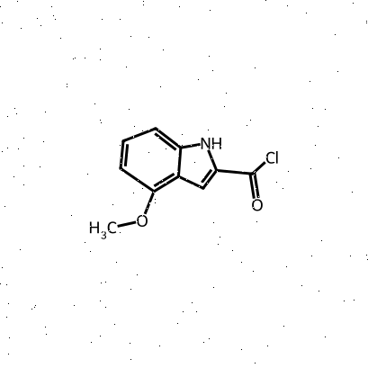 COc1cccc2[nH]c(C(=O)Cl)cc12